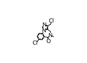 CN1Cc2c(CCl)ncn2-c2ccc(Cl)cc2C1=O